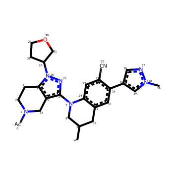 CC(=O)N1CCc2c(c(N3CC(C)Cc4cc(-c5cnn(C)c5)c(C#N)cc43)nn2C2CCOC2)C1